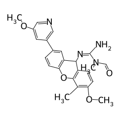 COc1cncc(-c2ccc3c(c2)C(/N=C(/N)N(C)C=O)c2ccc(OC)c(C)c2O3)c1